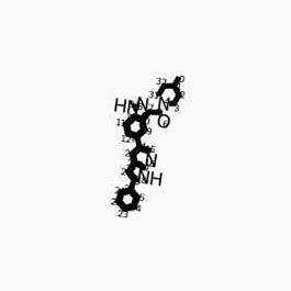 CC1CCN(C(=O)c2n[nH]c3ccc(-c4cnc5[nH]c(-c6ccccc6)cc5c4)cc23)CC1